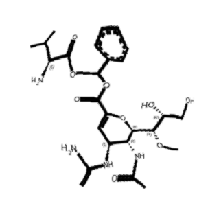 C=C(N)N[C@H]1C=C(C(=O)OC(OC(=O)[C@@H](N)C(C)C)c2ccccc2)O[C@@H]([C@@H](OC)[C@H](O)CO)[C@@H]1NC(C)=O